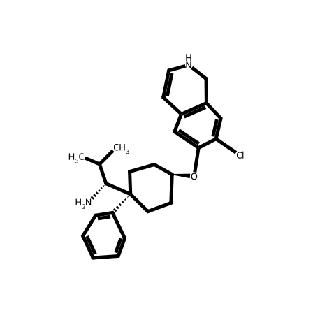 CC(C)[C@@H](N)[C@]1(c2ccccc2)CC[C@H](Oc2cc3c(cc2Cl)CNC=C3)CC1